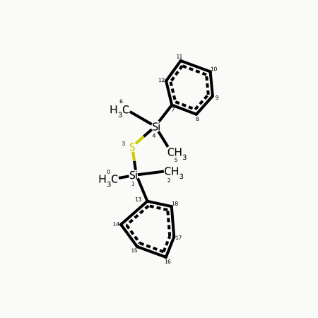 C[Si](C)(S[Si](C)(C)c1ccccc1)c1ccccc1